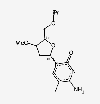 COC1C[C@H](n2cc(C)c(N)nc2=O)O[C@@H]1COC(C)C